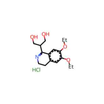 CCOc1cc2c(cc1OCC)C(C(CO)CO)=NCC2.Cl